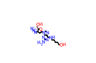 [N-]=[N+]=N[C@@H]1C[C@H](n2cnc3c(NCCCCCO)nc(N)nc32)O[C@@H]1CO